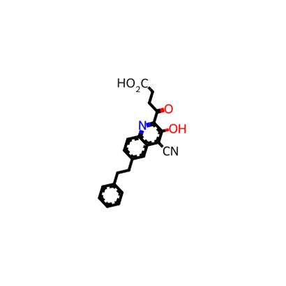 N#Cc1c(O)c(C(=O)CCC(=O)O)nc2ccc(CCc3ccccc3)cc12